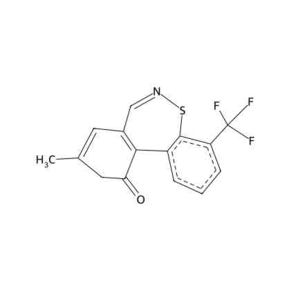 CC1=CC2=C(C(=O)C1)c1cccc(C(F)(F)F)c1SN=C2